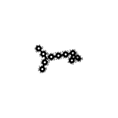 c1ccc(-c2ccc(N(c3ccc(-c4ccccc4)cc3)c3ccc(-c4ccc(-c5ccc(-c6cccc7c6-c6ccccc6C76CC7CCC6C7)cc5)cc4)cc3)cc2)cc1